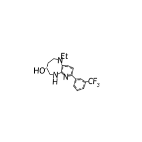 CCN1CC[C@@H](O)CNc2nc(-c3cccc(C(F)(F)F)c3)ccc21